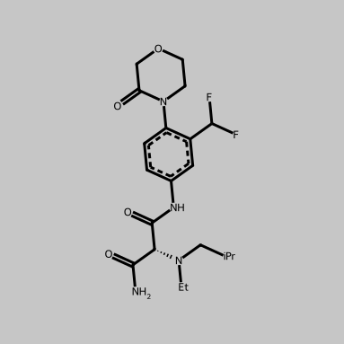 CCN(CC(C)C)[C@H](C(N)=O)C(=O)Nc1ccc(N2CCOCC2=O)c(C(F)F)c1